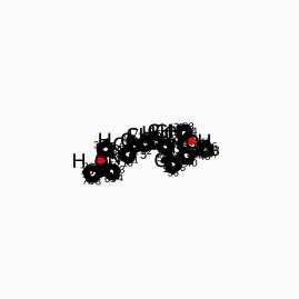 Cc1cccc(C)c1N(c1ccc2c(c1)C(C)(C)c1cc3c(cc1-2)-c1c(cc(N(c2c(C)cccc2C)c2cccc4c2oc2ccccc24)c2c1oc1ccccc12)C3(C)C)c1cccc2c1oc1ccccc12